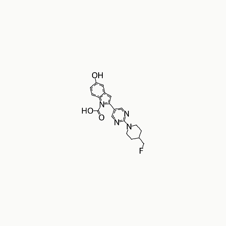 O=C(O)n1c(-c2cnc(N3CCC(CF)CC3)nc2)cc2cc(O)ccc21